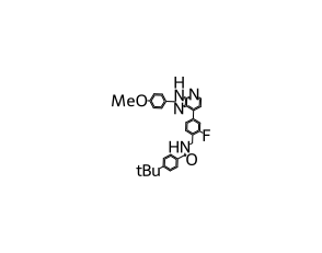 COc1ccc(-c2nc3c(-c4ccc(CNC(=O)c5ccc(C(C)(C)C)cc5)c(F)c4)ccnc3[nH]2)cc1